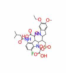 CCOc1cc2c(cc1OC)CC(C(CS(C)(=O)=O)C1C(C(=O)C(=O)O)c3c(NC(=O)CC(C)C)ccc(F)c3N1C(=O)C(=O)O)N2